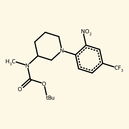 CN(C(=O)OC(C)(C)C)C1CCCN(c2ccc(C(F)(F)F)cc2[N+](=O)[O-])C1